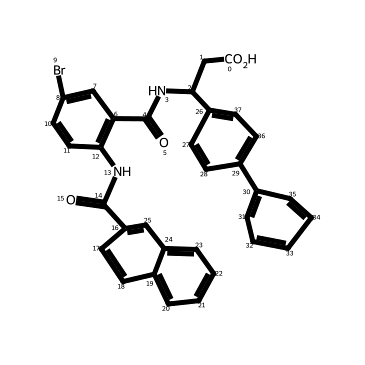 O=C(O)CC(NC(=O)c1cc(Br)ccc1NC(=O)c1ccc2ccccc2c1)c1ccc(-c2ccccc2)cc1